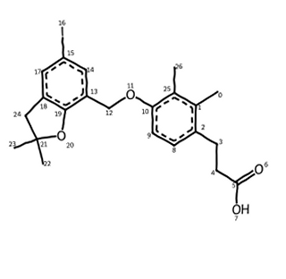 Cc1c(CCC(=O)O)ccc(OCc2cc(I)cc3c2OC(C)(C)C3)c1C